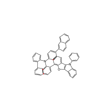 c1ccc(-c2ccccc2N(c2ccc(-c3ccc4ccccc4c3)cc2)c2ccccc2-c2cccc3c2oc2c4ccccc4n(-c4ccccc4)c32)cc1